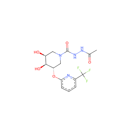 CC(=O)NNC(=O)N1C[C@H](Oc2cccc(C(F)(F)F)n2)[C@@H](O)[C@@H](O)C1